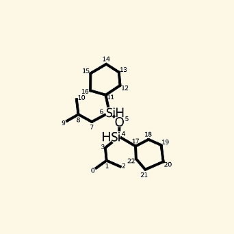 CC(C)C[SiH](O[SiH](CC(C)C)C1CCCCC1)C1CCCCC1